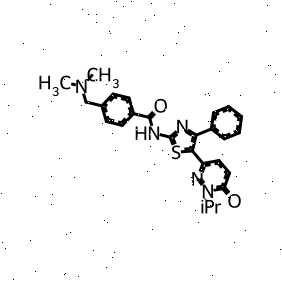 CC(C)n1nc(-c2sc(NC(=O)c3ccc(CN(C)C)cc3)nc2-c2ccccc2)ccc1=O